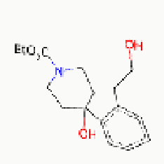 CCOC(=O)N1CCC(O)(c2ccccc2CCO)CC1